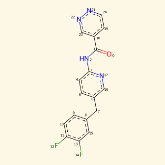 O=C(Nc1ccc(Cc2ccc(F)c(F)c2)cn1)c1ccnnc1